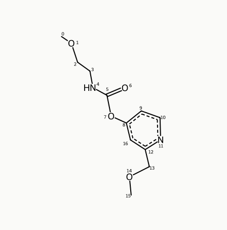 COCCNC(=O)Oc1ccnc(COC)c1